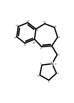 C1=C(CN2CCCC2)CCCc2ccccc21